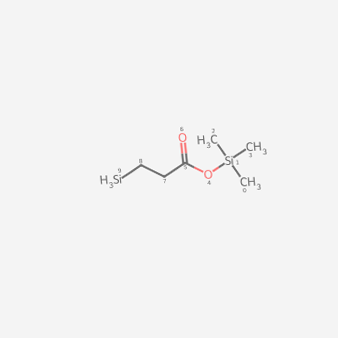 C[Si](C)(C)OC(=O)CC[SiH3]